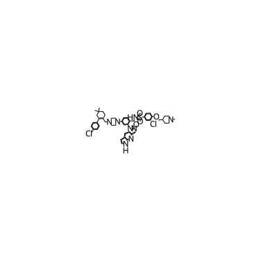 CN1CCC(COc2ccc(S(=O)(=O)NC(=O)c3ccc(N4CCN(CC5=C(c6ccc(Cl)cc6)CC(C)(C)CC5)CC4)cc3-n3ncc4nc5[nH]ccc5cc43)cc2Cl)CC1